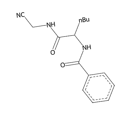 CCCCC(NC(=O)c1ccccc1)C(=O)NCC#N